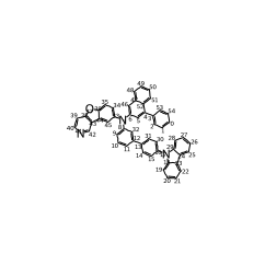 c1ccc(-c2cc(N(c3cccc(-c4ccc(-n5c6ccccc6c6ccccc65)cc4)c3)c3ccc4oc5ccncc5c4c3)cc3ccccc23)cc1